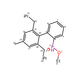 CCO[PH](=O)c1ccccc1-c1c(CC(C)C)cc(C)cc1CC(C)C